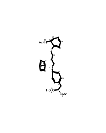 CO[C@@H](Cc1ccc(OCCCOc2ccccc2NC(C)=O)cc1)C(=O)O.c1cc2ccc1-2